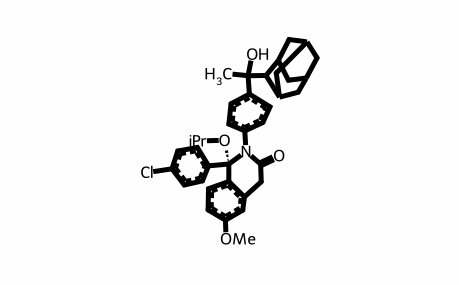 COc1ccc2c(c1)CC(=O)N(c1ccc(C(C)(O)C3C4CC5CC(C4)CC3C5)cc1)[C@]2(OC(C)C)c1ccc(Cl)cc1